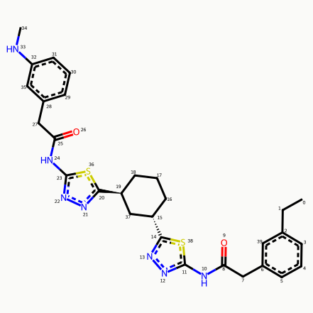 CCc1cccc(CC(=O)Nc2nnc([C@H]3CCC[C@H](c4nnc(NC(=O)Cc5cccc(NC)c5)s4)C3)s2)c1